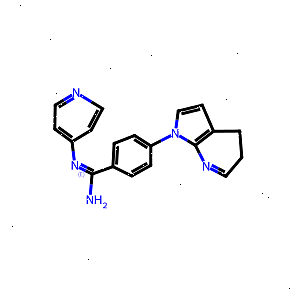 N/C(=N/c1ccncc1)c1ccc(-n2ccc3c2N=CCC3)cc1